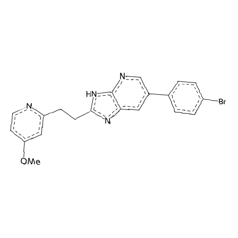 COc1ccnc(CCc2nc3cc(-c4ccc(Br)cc4)cnc3[nH]2)c1